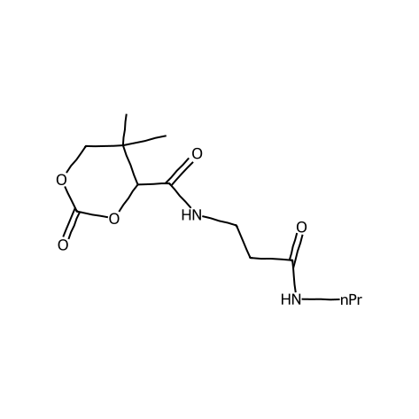 CCCNC(=O)CCNC(=O)C1OC(=O)OCC1(C)C